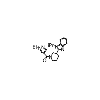 CCn1cc(C(=O)N2CCCC(c3nc4ccccc4n3C(C)C)C2)cn1